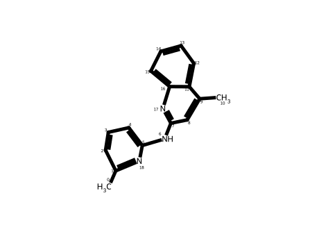 Cc1cccc(Nc2cc(C)c3ccccc3n2)n1